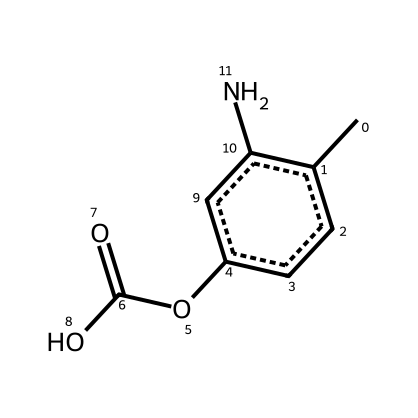 Cc1ccc(OC(=O)O)cc1N